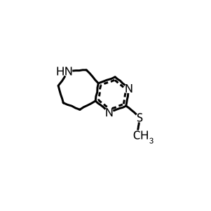 CSc1ncc2c(n1)CCCNC2